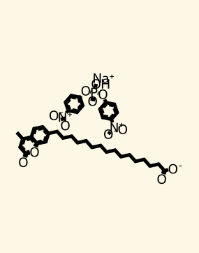 Cc1cc(=O)oc2cc(CCCCCCCCCCCCCCCC(=O)[O-])ccc12.O=[N+]([O-])c1ccc(OP(=O)(O)Oc2ccc([N+](=O)[O-])cc2)cc1.[Na+]